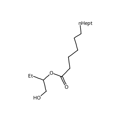 CCCCCCCCCCCCC(=O)OC(CC)CO